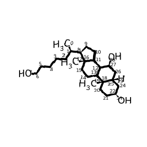 C[C@H](CCCCCO)[C@H]1CCC2C3C(CC[C@@]21C)[C@@]1(C)CC[C@@H](O)C[C@H]1C[C@@H]3O